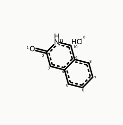 Cl.O=c1cc2ccccc2c[nH]1